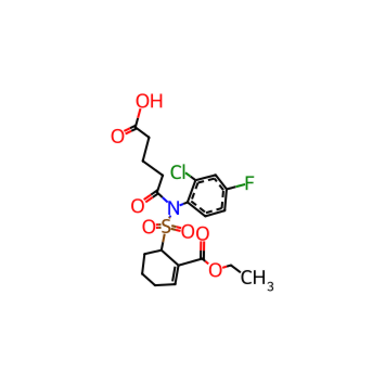 CCOC(=O)C1=CCCCC1S(=O)(=O)N(C(=O)CCCC(=O)O)c1ccc(F)cc1Cl